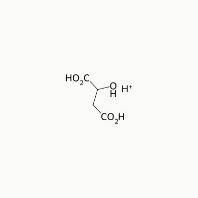 O=C(O)CC(O)C(=O)O.[H+]